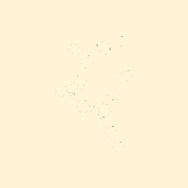 CC1(C)c2ccccc2-c2ccc(-n3c4ccccc4c4cc(-c5ccc6c(c5)c5ccccc5n6-c5cccc(-c6nc(-c7ccc(-c8ccccc8)cc7)cc(-c7ccc(-c8ccccc8)cc7)n6)c5)ccc43)cc21